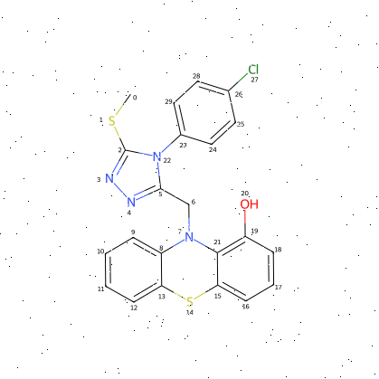 CSc1nnc(CN2c3ccccc3Sc3cccc(O)c32)n1-c1ccc(Cl)cc1